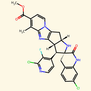 COC(=O)c1ccn2c3c(nc2c1C)[C@@H]1[C@H](C3)N[C@]2(Cc3ccc(Cl)cc3NC2=O)[C@H]1c1ccnc(Cl)c1F